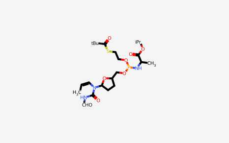 C/C=C\N(C(=O)NC=O)C1CCC(COP(NC(C)C(=O)OC(C)C)OCCSC(=O)C(C)(C)C)O1